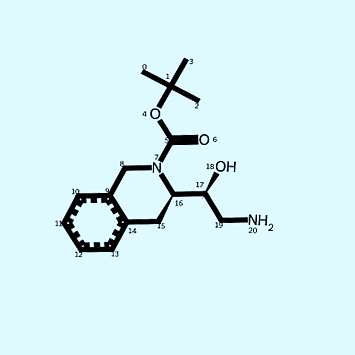 CC(C)(C)OC(=O)N1Cc2ccccc2C[C@@H]1[C@@H](O)CN